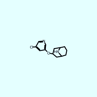 Clc1cncc(OC2CC3CCCC(C2)N3)c1